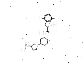 CC(=O)N(C(C)C)C1CCN(C2CCC[C@@H](NC(=O)C3Cc4c(F)ccc(C)c4N3)C2)C1